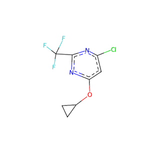 FC(F)(F)c1nc(Cl)cc(OC2CC2)n1